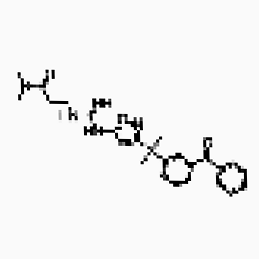 CN(C)C(=O)CCNC(=N)Nc1cc(C(C)(C)c2cccc(C(=O)c3ccccc3)c2)no1